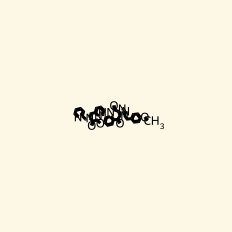 COc1ccc(Cn2nnc3c(=O)[nH]c4cc(OCC(=O)N(Cc5ccccn5)Cc5ccccn5)ccc4c(=O)c32)cc1